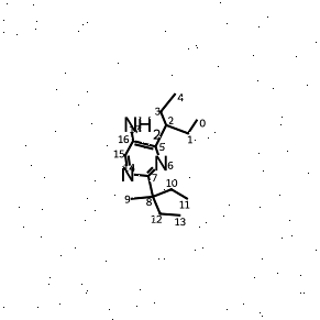 CCC(CC)c1nc(C(C)(CC)CC)ncc1N